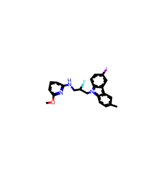 COc1cccc(NCC(F)Cn2c3ccc(C)cc3c3cc(I)ccc32)n1